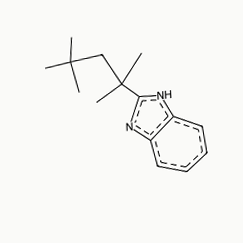 CC(C)(C)CC(C)(C)c1nc2ccccc2[nH]1